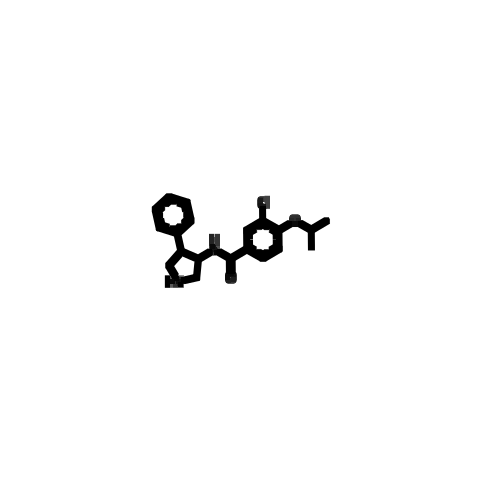 CC(C)Oc1ccc(C(=O)NC2CNCC2c2ccccc2)cc1Cl